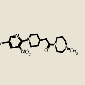 CN1CCCN(C(=O)CC2CCN(c3ncc(Br)cc3[N+](=O)[O-])CC2)CC1